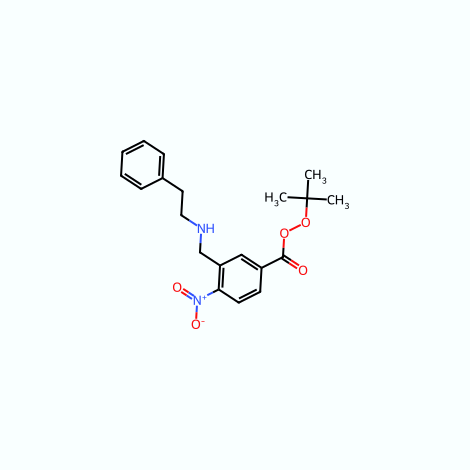 CC(C)(C)OOC(=O)c1ccc([N+](=O)[O-])c(CNCCc2ccccc2)c1